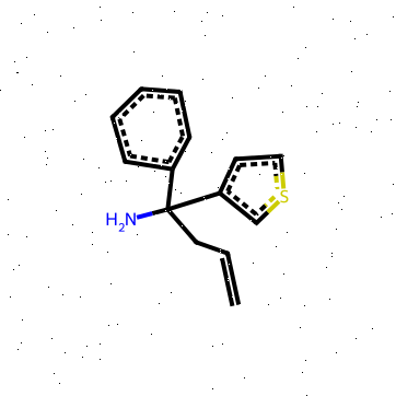 C=CCC(N)(c1ccccc1)c1ccsc1